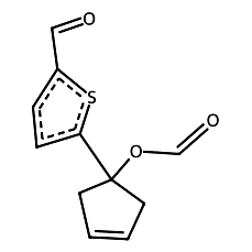 O=COC1(c2ccc(C=O)s2)CC=CC1